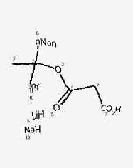 CCCCCCCCCC(C)(OC(=O)CC(=O)O)C(C)C.[LiH].[NaH]